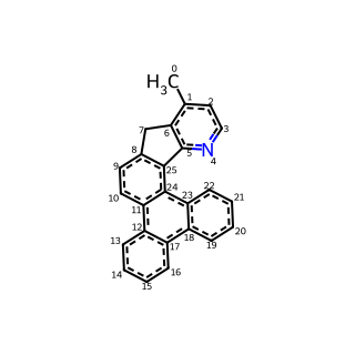 Cc1ccnc2c1Cc1ccc3c4ccccc4c4ccccc4c3c1-2